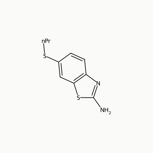 CCCSc1ccc2nc(N)sc2c1